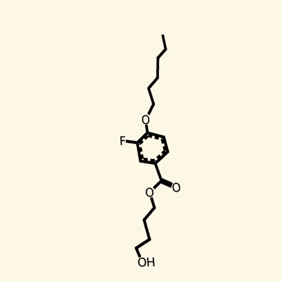 CCCCCCOc1ccc(C(=O)OCCCCO)cc1F